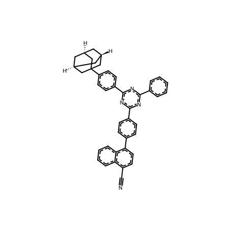 N#Cc1ccc(-c2ccc(-c3nc(-c4ccccc4)nc(-c4ccc(C56C[C@H]7C[C@H](C5)C[C@@H](C6)C7)cc4)n3)cc2)c2ccccc12